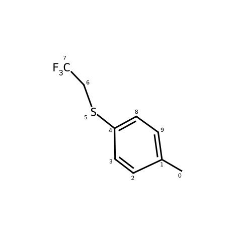 Cc1ccc(SCC(F)(F)F)cc1